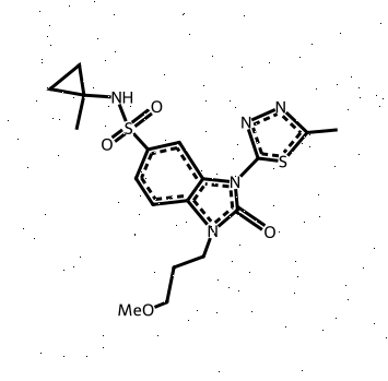 COCCCn1c(=O)n(-c2nnc(C)s2)c2cc(S(=O)(=O)NC3(C)CC3)ccc21